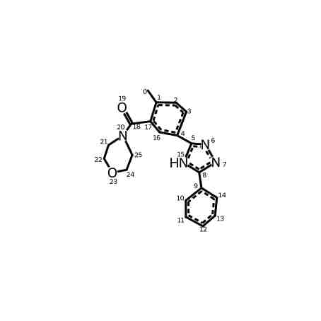 Cc1ccc(-c2nnc(-c3ccccc3)[nH]2)cc1C(=O)N1CCOCC1